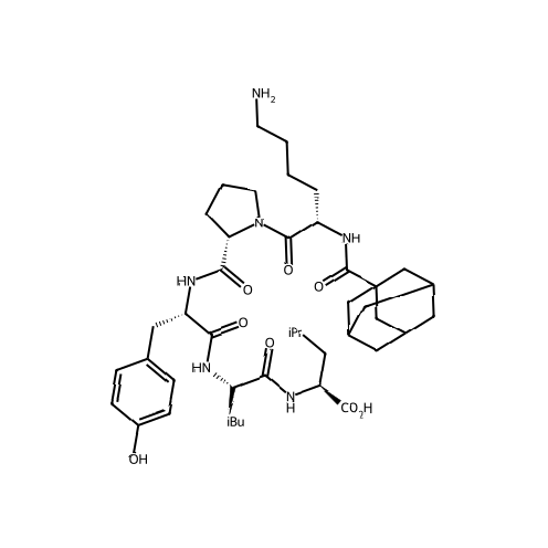 CC[C@H](C)[C@H](NC(=O)[C@H](Cc1ccc(O)cc1)NC(=O)[C@@H]1CCCN1C(=O)[C@H](CCCCN)NC(=O)C12CC3CC(CC(C3)C1)C2)C(=O)N[C@@H](CC(C)C)C(=O)O